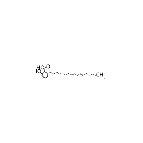 CCCCC/C=C/C/C=C/CCCCCCCc1cccc(O)c1C(=O)O